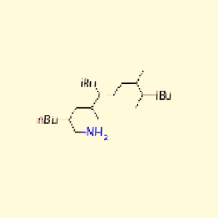 CCCCC(CN)CC(C)C(CCC(C)C(C)C(C)CC)C(C)CC